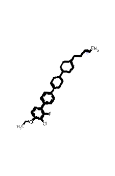 C/C=C/CCC1CCC(C2CC=C(c3ccc(-c4ccc(OCC)c(Cl)c4F)cc3)CC2)CC1